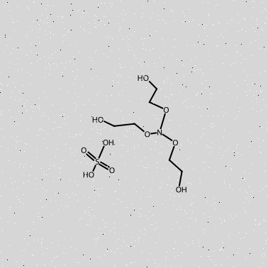 O=S(=O)(O)O.OCCON(OCCO)OCCO